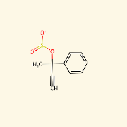 C#CC(C)(OS(=O)O)c1ccccc1